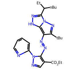 CCCCC(CC)c1n[nH]c2c(/N=N/c3c(C(=O)OCC)cnn3-c3ccccn3)c(C(C)(C)C)nn12